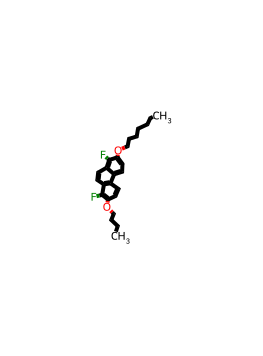 CCCCCCCOc1ccc2c(ccc3c(F)c(OCCCC)ccc32)c1F